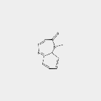 CN1C(=O)C=CN=C2C=CC=CC21